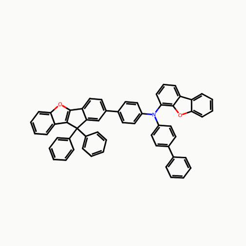 c1ccc(-c2ccc(N(c3ccc(-c4ccc5c(c4)C(c4ccccc4)(c4ccccc4)c4c-5oc5ccccc45)cc3)c3cccc4c3oc3ccccc34)cc2)cc1